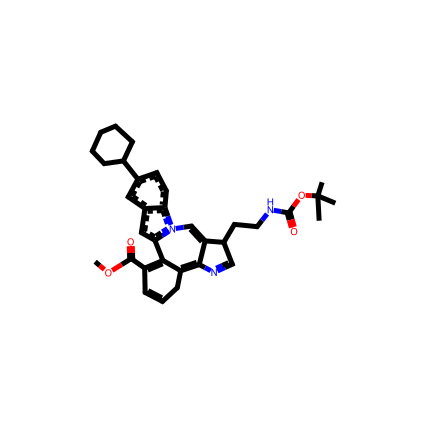 COC(=O)C1=C2C(=C3N=CC(CCNC(=O)OC(C)(C)C)C3=Cn3c2cc2cc(C4CCCCC4)ccc23)CC=C1